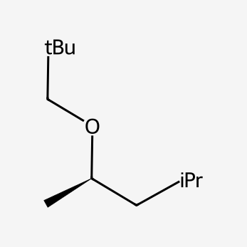 CC(C)C[C@@H](C)OCC(C)(C)C